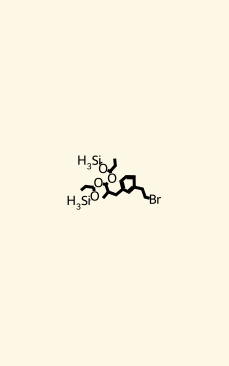 CCC(O[SiH3])OC(OC(CC)O[SiH3])C(C)Cc1cccc(CCBr)c1